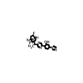 [2H][C@]12C[C@@H](C(=C)c3cnc(-c4ccc(-n5ccnc5)cc4O)cn3)[C@H](F)[C@]([2H])(C[C@H]1F)N2